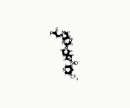 [O-][S+](c1cncc(C(F)(F)F)c1)N1CC2(CCN(c3cnc4cnn(CC(F)F)c4n3)C2)C1